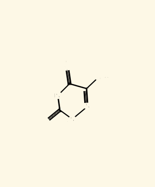 CCCCCc1n[nH]c(=O)[nH]c1=O